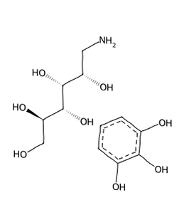 NC[C@H](O)[C@@H](O)[C@H](O)[C@H](O)CO.Oc1cccc(O)c1O